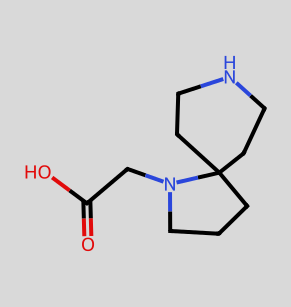 O=C(O)CN1CCCC12CCNCC2